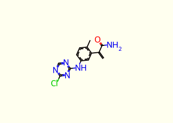 C=C(C(N)=O)c1cc(Nc2ncnc(Cl)n2)ccc1C